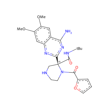 COc1cc2nc([C@]3(C(=O)NC(C)(C)C)CNCCN3C(=O)c3ccco3)nc(N)c2cc1OC